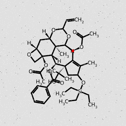 C=CC1O[C@H]2C[C@H]3OC[C@@]3(OC(C)=O)[C@H]3[C@H](OC(=O)c4ccccc4)[C@]4(C(C)(C)O)CC(O[Si](CC)(CC)CC)C(C)=C4[C@H](OC(C)=O)[C@H](O1)[C@]23C